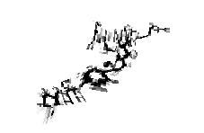 CN(C)CCNC(=O)c1c(N)n(CCN(C)C)c2nc(-c3ccc(NC(=O)NCc4cccnc4)cc3)ccc2c1=O